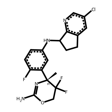 C[C@]1(c2cc(NC3CCc4cc(Cl)cnc43)ccc2F)N=C(N)OCC1(F)F